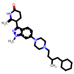 C=C1NC(=O)CCC1c1nn(C)c2cc(N3CCN(CCC(C)CC4CCCCC4)CC3)ccc12